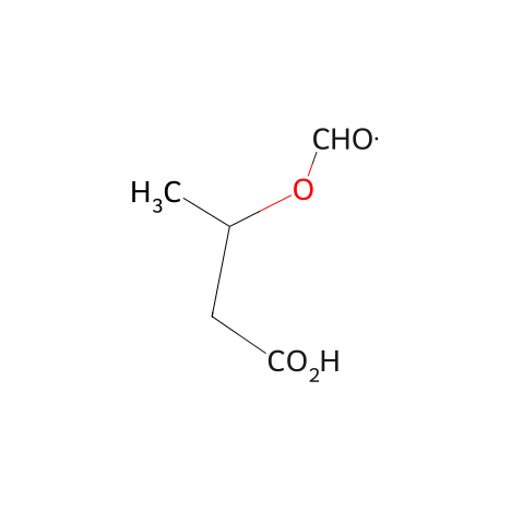 CC(CC(=O)O)O[C]=O